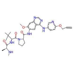 C#CCOc1ccc(Nc2ncnc3cc(OC)c(NC(=O)C4CCCN4C(=O)[C@@H](NC(=O)[C@H](C)NC)C(C)(C)C)cc23)cn1